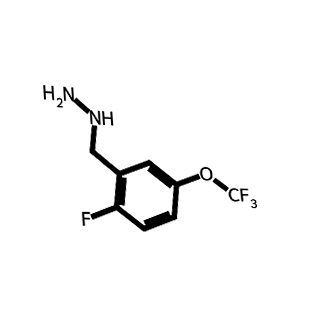 NNCc1cc(OC(F)(F)F)ccc1F